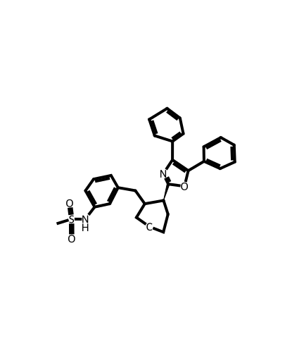 CS(=O)(=O)Nc1cccc(CC2CCCC[C@@H]2c2nc(-c3ccccc3)c(-c3ccccc3)o2)c1